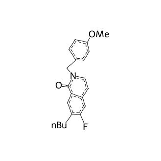 CCCCc1cc2c(=O)n(Cc3ccc(OC)cc3)ccc2cc1F